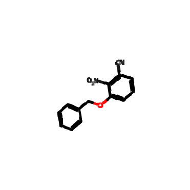 N#Cc1cccc(OCc2ccccc2)c1[N+](=O)[O-]